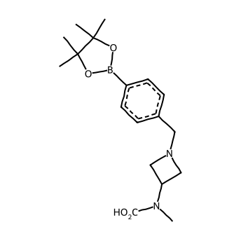 CN(C(=O)O)C1CN(Cc2ccc(B3OC(C)(C)C(C)(C)O3)cc2)C1